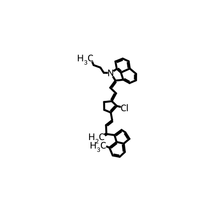 C=C(/C=C/C1=C(Cl)C(=C/C=c2\c3cccc4cccc(c43)n2CCCC)/CC1)c1cccc2cccc(C)c12